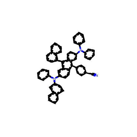 N#Cc1ccc(-c2c3cc(N(c4ccccc4)c4ccccc4)ccc3c(-c3cccc4ccccc34)c3cc(N(c4ccccc4)c4ccc5ccccc5c4)ccc23)cc1